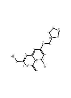 C=C1NC(CS)=Nc2cc(OCC3CCOC3)cc(F)c21